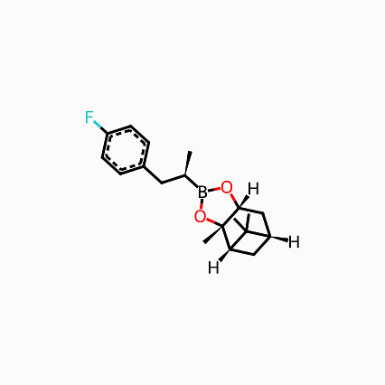 C[C@H](Cc1ccc(F)cc1)B1O[C@@H]2C[C@@H]3C[C@@H](C3(C)C)[C@]2(C)O1